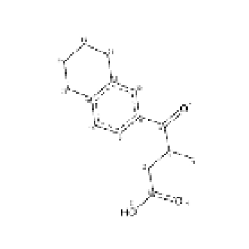 CC(CC(=O)O)C(=O)c1ccc2c(c1)CCCC2